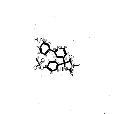 CN1C(=O)C(c2ccc(OS(C)(=O)=O)cc2)(c2ccnc(-c3cccc(N)c3)c2)NC1=S